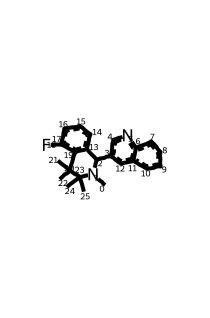 CN1C(c2cnc3ccccc3c2)c2cccc(F)c2C(C)(C)C1(C)C